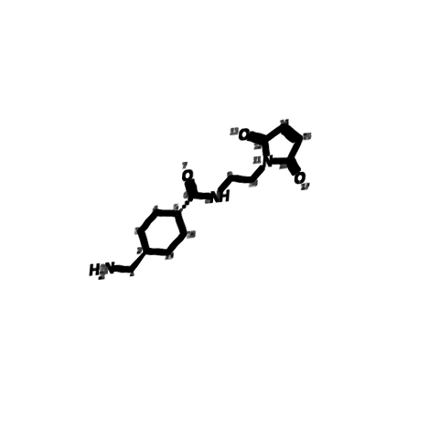 NC[C@H]1CC[C@H](C(=O)NCCN2C(=O)C=CC2=O)CC1